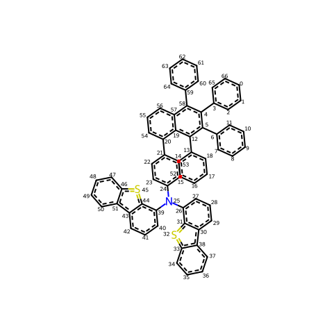 c1ccc(-c2c(-c3ccccc3)c(-c3ccccc3)c3c(-c4ccc(N(c5cccc6c5sc5ccccc56)c5cccc6c5sc5ccccc56)cc4)cccc3c2-c2ccccc2)cc1